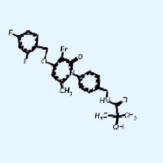 Cc1cc(OCc2ccc(F)cc2F)c(Br)c(=O)n1-c1ccc(CNC(=O)C(C)(C)O)cc1